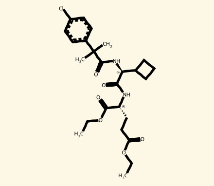 CCOC(=O)CC[C@@H](NC(=O)[C@@H](NC(=O)C(C)(C)c1ccc(Cl)cc1)C1CCC1)C(=O)OCC